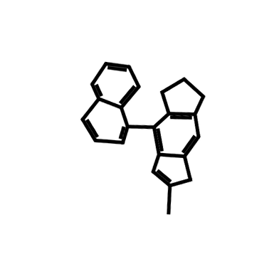 CC1=Cc2c(cc3c(c2-c2cccc4ccccc24)CCC3)C1